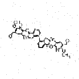 COc1nc(O[C@H]2CCc3c(-c4cccc5c4CC[C@@H]5Oc4nc(OC)c(C=O)cc4Br)cccc32)c(Br)cc1C=O